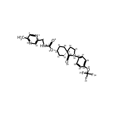 Cc1cnc(CNC(=O)O[C@H]2CC[C@@]3(CCN(c4ccc(OC(F)(F)F)cc4)C3=O)CC2)cn1